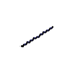 [CH]=C/C=C/C=C/C=C/C=C/C=C/C=C/C=C/C=C/C=C/C